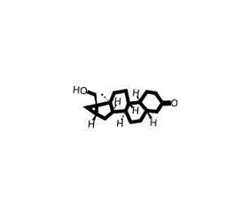 C[C@]12CC[C@H]3[C@@H](CC[C@H]4CC(=O)CC[C@@H]43)[C@H]1C[C@@H]1C[C@@]12CO